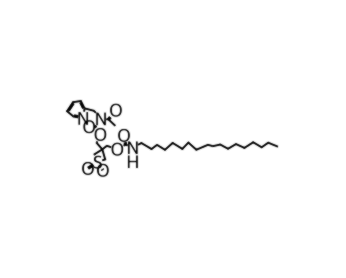 CCCCCCCCCCCCCCCCCCNC(=O)OCC1(COC(=O)N(Cc2ccccn2)C(C)=O)CS(=O)(=O)C1